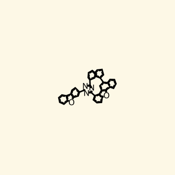 c1ccc(-c2nc(-c3ccc4c(c3)oc3ccccc34)nc(-c3cccc4oc5c6ccccc6c(-c6ccccc6)cc5c34)n2)cc1